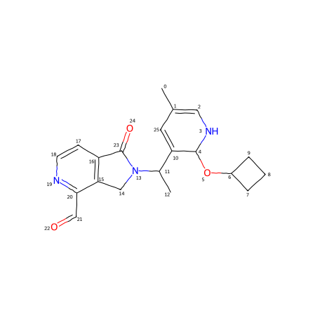 CC1=CNC(OC2CCC2)C(C(C)N2Cc3c(ccnc3C=O)C2=O)=C1